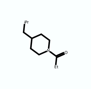 CCC(=O)N1CCC(CC(C)C)CC1